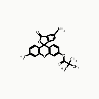 Cc1ccc2c(c1)Oc1cc(OC(=O)C(C)(C)C)ccc1C21OC(=O)c2cc(N)ccc21